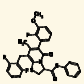 COc1cccc(-c2c(C)c(Cc3c(F)cccc3F)c3n(c2=O)C(C(=O)Sc2ccccc2)CS3)c1F